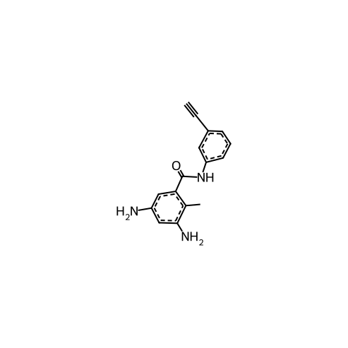 C#Cc1cccc(NC(=O)c2cc(N)cc(N)c2C)c1